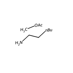 CCCCCCN.COC(C)=O